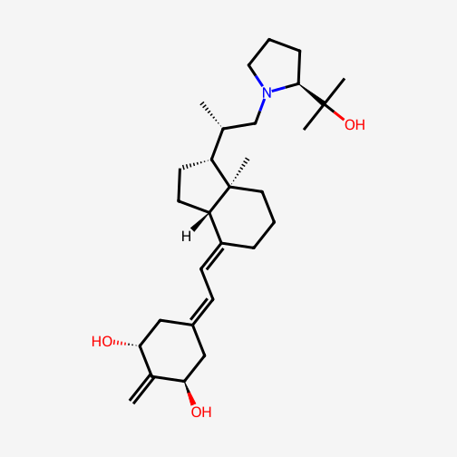 C=C1[C@H](O)CC(=C/C=C2\CCC[C@]3(C)[C@@H]([C@H](C)CN4CCC[C@H]4C(C)(C)O)CC[C@@H]23)C[C@H]1O